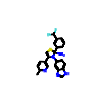 Cc1ccc(C2=CSC(N)(c3cccc(C(F)F)c3)N2c2ccc3[nH]cnc3c2)cn1